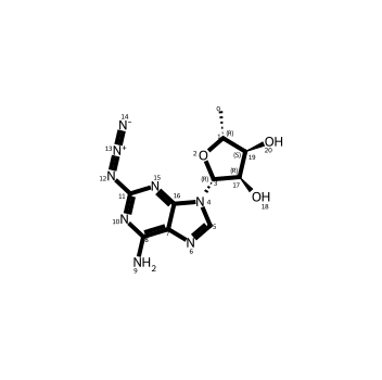 C[C@H]1O[C@@H](n2cnc3c(N)nc(N=[N+]=[N-])nc32)[C@H](O)[C@@H]1O